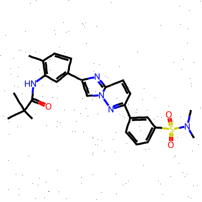 Cc1ccc(-c2cn3nc(-c4cccc(S(=O)(=O)N(C)C)c4)ccc3n2)cc1NC(=O)C(C)(C)C